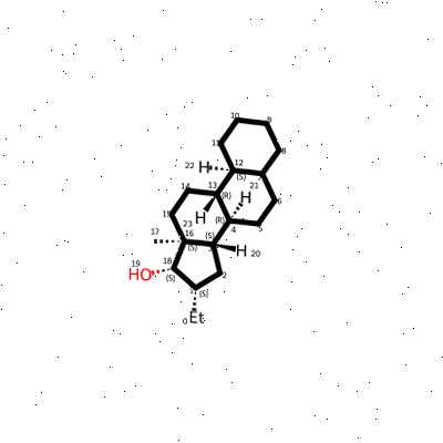 CC[C@H]1C[C@H]2[C@@H]3CCC4CCCC[C@@H]4[C@H]3CC[C@]2(C)[C@H]1O